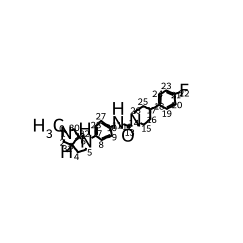 CN1C[C@H]2CCN(c3ccc(NC(=O)N4CCC(c5ccc(F)cc5)CC4)cc3)[C@H]2C1